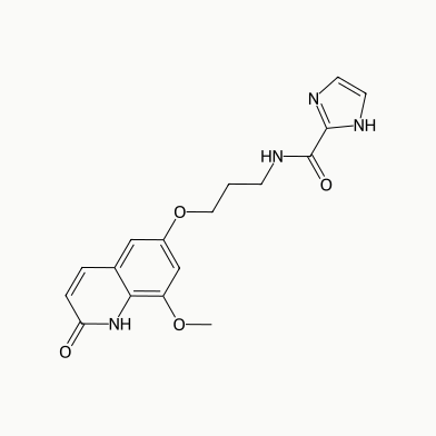 COc1cc(OCCCNC(=O)c2ncc[nH]2)cc2ccc(=O)[nH]c12